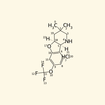 CC1(C)CN[C@H]2c3ccc(OC(F)(F)F)cc3O[C@H]2C1.Cl